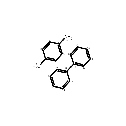 Cc1ccc(N)cc1.c1ccc(-c2ccccc2)cc1